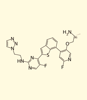 C[C@@H](N)COc1cnc(F)cc1-c1cccc2cc(-c3nc(NCCn4ccnn4)ncc3F)sc12